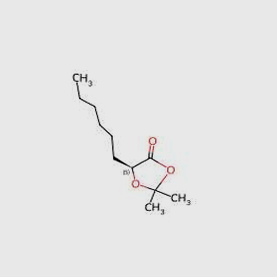 CCCCCC[C@@H]1OC(C)(C)OC1=O